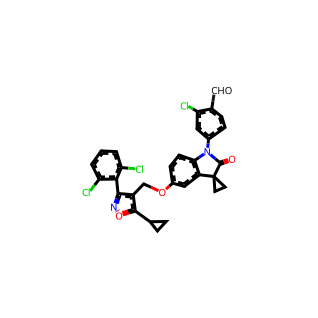 O=Cc1ccc(N2C(=O)C3(CC3)c3cc(OCc4c(-c5c(Cl)cccc5Cl)noc4C4CC4)ccc32)cc1Cl